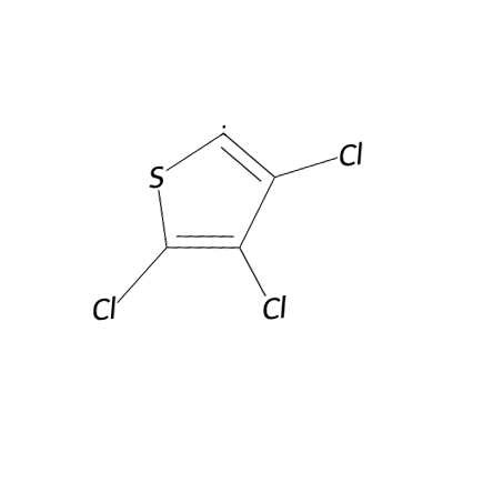 Clc1[c]sc(Cl)c1Cl